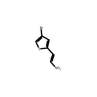 O=[N+]([O-])/C=C/c1cc(Br)cs1